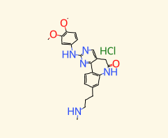 CNCCCc1ccc2c(c1)NC(=O)Cc1cnc(Nc3ccc(OC)c(OC)c3)nc1-2.Cl